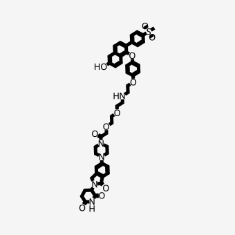 CS(=O)(=O)c1ccc(-c2ccc3cc(O)ccc3c2Oc2ccc(OCCNCCOCCOCC(=O)N3CCN(c4ccc5c(c4)CN(C4CCC(=O)NC4=O)C5=O)CC3)cc2)cc1